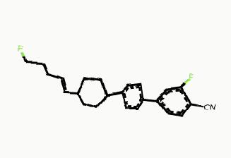 N#Cc1ccc(-c2ccc(C3CCC(C=CCCCF)CC3)cc2)cc1F